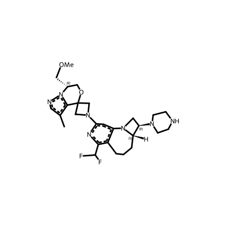 COC[C@@H]1COC2(CN(c3cc4c(c(C(F)F)n3)CCC[C@H]3[C@H](N5CCNCC5)CN43)C2)c2c(C)cnn21